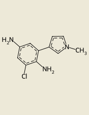 Cn1ccc(-c2cc(N)cc(Cl)c2N)c1